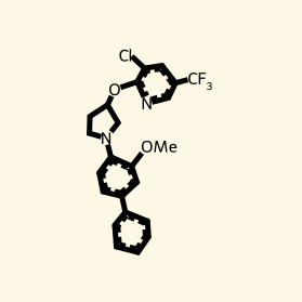 COc1cc(-c2ccccc2)ccc1N1CCC(Oc2ncc(C(F)(F)F)cc2Cl)C1